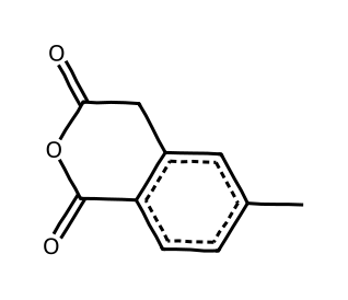 Cc1ccc2c(c1)CC(=O)OC2=O